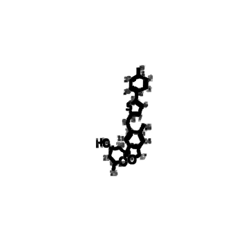 Cc1ccc(-c2ccc(Cc3cc4c(cc3C)CO[C@@]43CC(O)CC(C)O3)s2)cc1